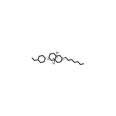 CCCCCCC[C@H]1CC[C@@H]2C[C@H](C3CCC(CC)CC3)CC[C@H]2C1